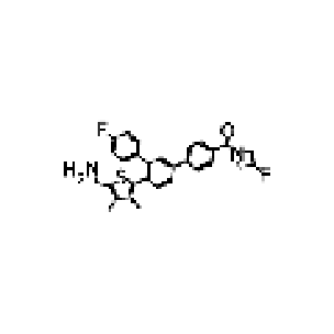 Cc1c(CN)sc(-c2ccc(-c3ccc(C(=O)N4CC(F)C4)cc3)cc2-c2ccc(F)cc2)c1C